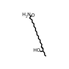 CCCC(C=CCCCCCCCCCCCCCCC(N)=O)CO